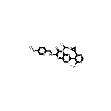 CSc1ccc(CNc2nc3cnc(-c4c(C)ncnc4C4CC4)nc3n(C(C)C)c2=O)nc1